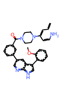 C=C/C=C(\C=C/N)N1CCN(C(=O)c2cccc(-c3cnc4[nH]cc(-c5ccccc5OC)c4c3)c2)CC1